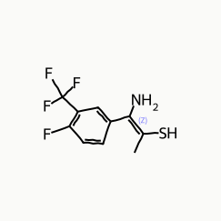 C/C(S)=C(/N)c1ccc(F)c(C(F)(F)F)c1